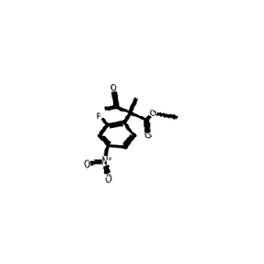 COC(=O)C(C)(C(C)=O)c1ccc([N+](=O)[O-])cc1F